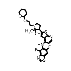 CC1(C)C(c2cc3c(Nc4c(F)cc5scnc5c4F)ccnc3s2)CCN1CCOC1CCCCO1